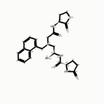 CC[C@H](C)[C@@H](CN(CC(=O)N[C@H]1CCOC1=O)Cc1cccc2ccccc12)NC(=O)[C@@H]1CCC(=O)N1